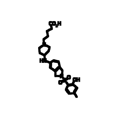 Cc1ccc(S(=O)(=O)N2Cc3ccc(NC4CCN(CCCCC(=O)O)CC4)cc3C2)c(O)c1